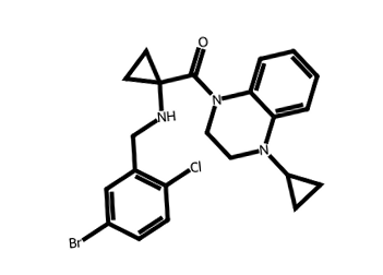 O=C(N1CCN(C2CC2)c2ccccc21)C1(NCc2cc(Br)ccc2Cl)CC1